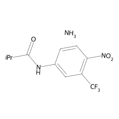 CC(C)C(=O)Nc1ccc([N+](=O)[O-])c(C(F)(F)F)c1.N